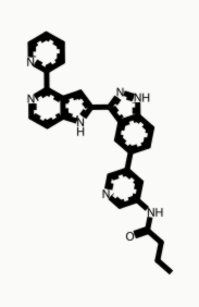 CCCC(=O)Nc1cncc(-c2ccc3[nH]nc(-c4cc5c(-c6ccccn6)nccc5[nH]4)c3c2)c1